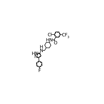 O=C(NC1CCC(CNc2cc(-c3ccc(F)cc3)n[nH]2)CC1)c1cc(C(F)(F)F)ccc1Cl